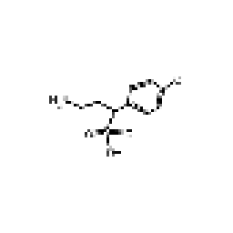 NCCC(c1ccc(Cl)cc1)S(=O)(=O)O